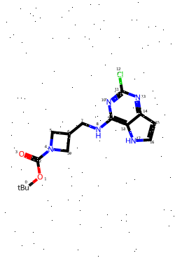 CC(C)(C)OC(=O)N1CC(CNc2nc(Cl)nc3cc[nH]c23)C1